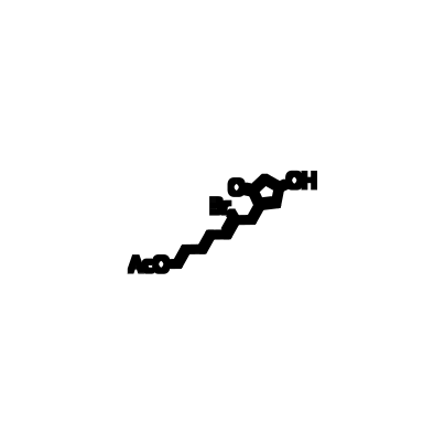 CC(=O)OCCCCC=C(Br)CC1=CC(O)CC1=O